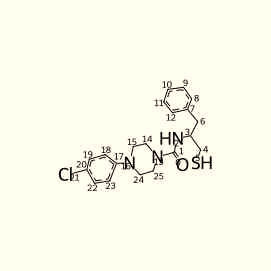 O=C(NC(CS)Cc1ccccc1)N1CCN(c2ccc(Cl)cc2)CC1